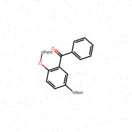 CCCCCCCCCc1ccc(OCCCCC)c(C(=O)c2ccccc2)c1